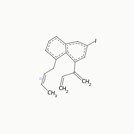 C=CC(=C)c1cc(I)cc2cccc(C/C=C\C)c12